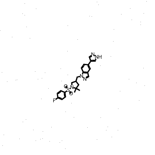 CC1(C)CC(Cn2ncc3cc(-c4cn[nH]c4)ccc32)CN1S(=O)(=O)c1ccc(F)cc1